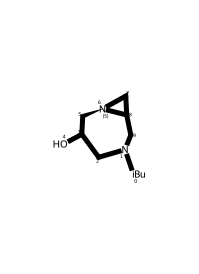 CCC(C)N1CC(O)C[N@@]2CC2C1